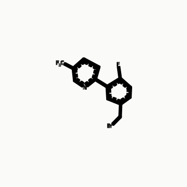 Fc1ccc(CBr)cc1-c1ccc(C(F)(F)F)cn1